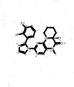 CC[C@]12CCCCN1c1nc(-n3ccnc3-c3cccc(F)c3F)ncc1N(C)C2=O